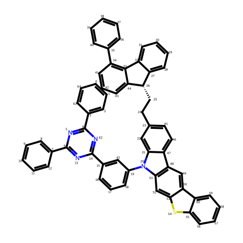 c1ccc(-c2nc(-c3ccccc3)nc(-c3cccc(-n4c5cc(CC[C@H]6c7ccccc7-c7c(-c8ccccc8)cccc76)ccc5c5cc6c(cc54)sc4ccccc46)c3)n2)cc1